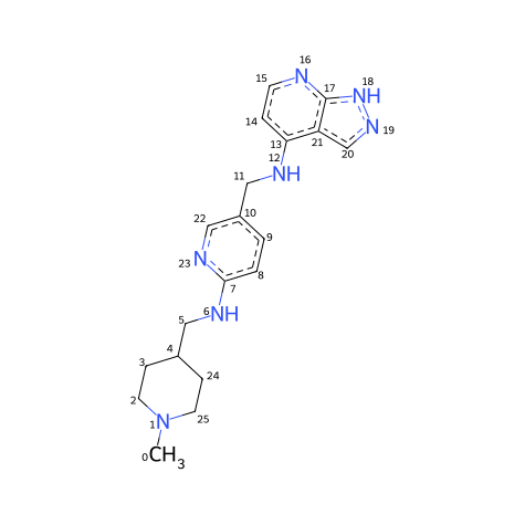 CN1CCC(CNc2ccc(CNc3ccnc4[nH]ncc34)cn2)CC1